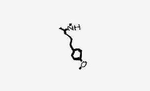 CNC(C)CCCc1ccc(OC)cc1